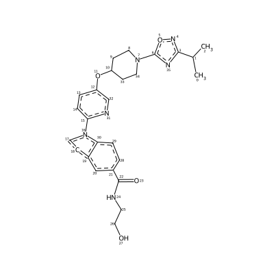 CC(C)c1noc(N2CCC(Oc3ccc(-n4ccc5cc(C(=O)NCCO)ccc54)nc3)CC2)n1